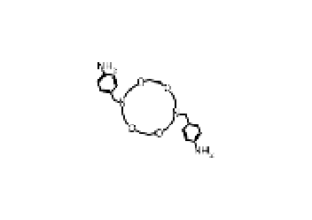 Nc1ccc(CN2CCOCCOCCN(Cc3ccc(N)cc3)CCOCCOCC2)cc1